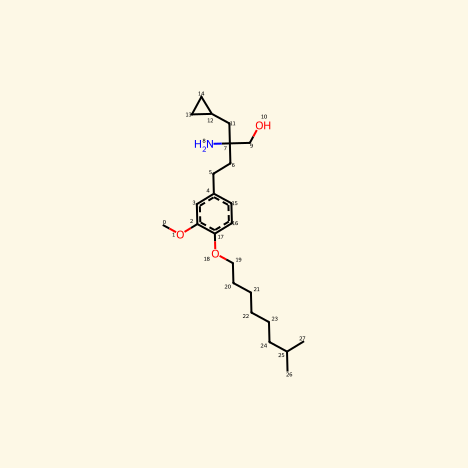 COc1cc(CCC(N)(CO)CC2CC2)ccc1OCCCCCCC(C)C